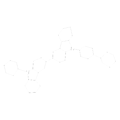 C1CCC(C2CCC(N3C4CCCCC4C4CC(C5CCC6C(C5)C5CCCCC5N6C5CCCCC5)CCC43)CC2)CC1